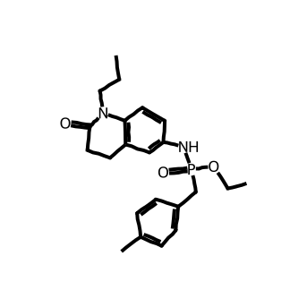 CCCN1C(=O)CCc2cc(NP(=O)(Cc3ccc(C)cc3)OCC)ccc21